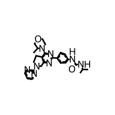 CC(C)NC(=O)Nc1ccc(-c2nc3c(c(N4CCOCC4C)n2)CCN(c2ncccn2)C3)cc1